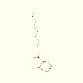 CCCCCCCCNC(=O)c1cccnc1O